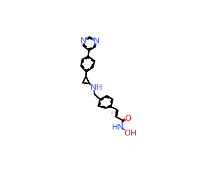 O=C(/C=C/c1ccc(CNC2CC2c2ccc(-c3cncnc3)cc2)cc1)NO